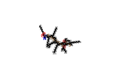 CCCCCCCCOC(=O)/C(C#N)=C/c1cc(CCCCCCCC)c(-c2cc(CCCCCCCC)c(-c3ccc(-c4sc(-c5sc(-c6cc7c(OC(CC)CCCC)c8sc(-c9cc(CCCCCCCC)c(C)s9)cc8c(OCC(CC)CCCC)c7s6)cc5CCCCCCCC)cc4CCCCCCCC)s3)s2)s1